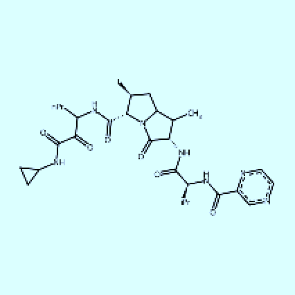 CCCC(NC(=O)[C@@H]1[C@@H](I)CC2C(C)[C@H](NC(=O)[C@@H](NC(=O)c3cnccn3)C(C)C)C(=O)N21)C(=O)C(=O)NC1CC1